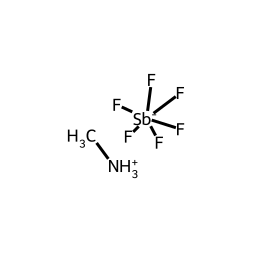 C[NH3+].[F][Sb-]([F])([F])([F])([F])[F]